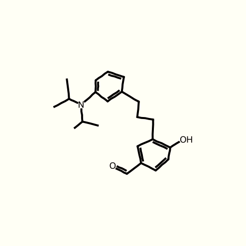 CC(C)N(c1cccc(CCCc2cc(C=O)ccc2O)c1)C(C)C